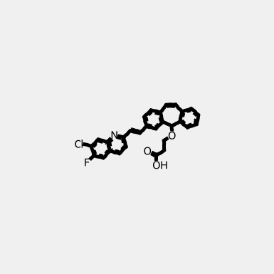 O=C(O)CCOC1c2ccccc2C=Cc2ccc(/C=C/c3ccc4cc(F)c(Cl)cc4n3)cc21